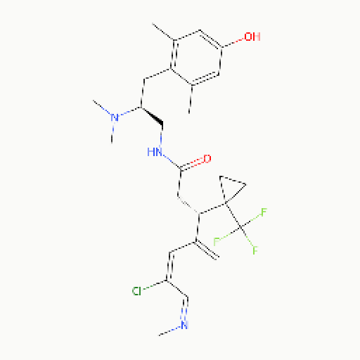 C=C(/C=C(Cl)\C=N/C)[C@H](CC(=O)NC[C@H](Cc1c(C)cc(O)cc1C)N(C)C)C1(C(F)(F)F)CC1